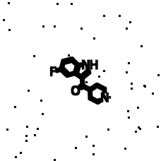 O=C(c1c[nH]c2ccc(F)cc12)C1CC[N]CC1